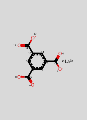 O=C([O-])c1cc(C(=O)[O-])cc(C(=O)[O-])c1.[La+3]